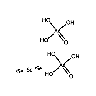 O=[As](O)(O)O.O=[As](O)(O)O.[Se].[Se].[Se]